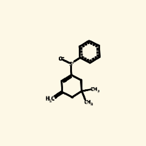 C=C1C=C([S+]([O-])c2ccccc2)CC(C)(C)C1